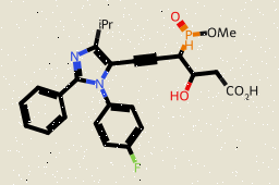 CO[PH](=O)C(C#Cc1c(C(C)C)nc(-c2ccccc2)n1-c1ccc(F)cc1)C(O)CC(=O)O